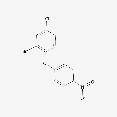 O=[N+]([O-])c1ccc(Oc2ccc(Cl)cc2Br)cc1